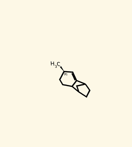 C[C@H]1C=C2C3CCC(C3)C2CC1